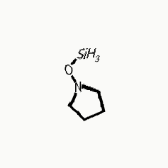 [SiH3]ON1CCCC1